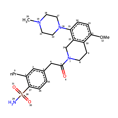 CCCc1cc(CC(=O)N2CCc3c(OC)ccc(N4CCN(C)CC4)c3C2)ccc1S(N)(=O)=O